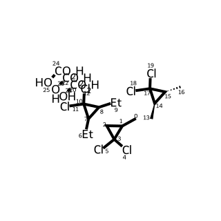 CC1CC1(Cl)Cl.CCC1C(CC)C1(Cl)Cl.C[C@@H]1[C@@H](C)C1(Cl)Cl.O=C(O)O.O=C(O)O.O=C(O)O